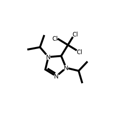 CC(C)N1C=NN(C(C)C)C1C(Cl)(Cl)Cl